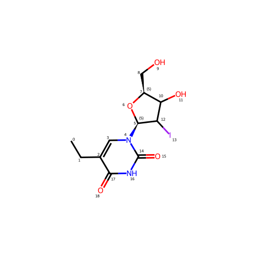 CCc1cn([C@H]2O[C@@H](CO)C(O)C2I)c(=O)[nH]c1=O